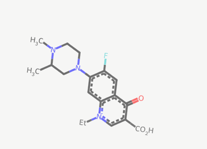 CCn1cc(C(=O)O)c(=O)c2cc(F)c(N3CCN(C)C(C)C3)cc21